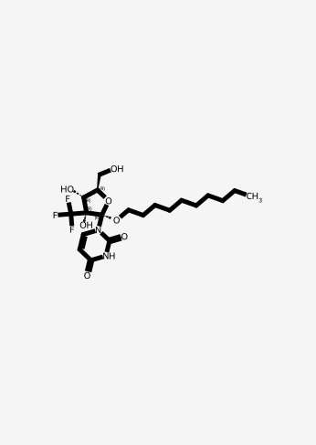 CCCCCCCCCCO[C@@]1(n2ccc(=O)[nH]c2=O)O[C@H](CO)[C@@H](O)[C@]1(O)C(F)(F)F